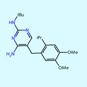 COc1cc(Cc2cnc(NC(C)(C)C)nc2N)c(C(C)C)cc1OC